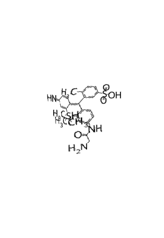 Cc1ccc(S(=O)(=O)O)cc1C1=C2C=CC(=N)C=C2[SH](C)(C)(C)c2cc(NC(=O)CN)ccc21